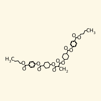 C=C(C(=O)OC1CCC(C(=O)Oc2ccc(C(=O)OCCCC)cc2)CC1)C(=O)OC1CCC(C(=O)Oc2ccc(C(=O)OCCCC)cc2)CC1